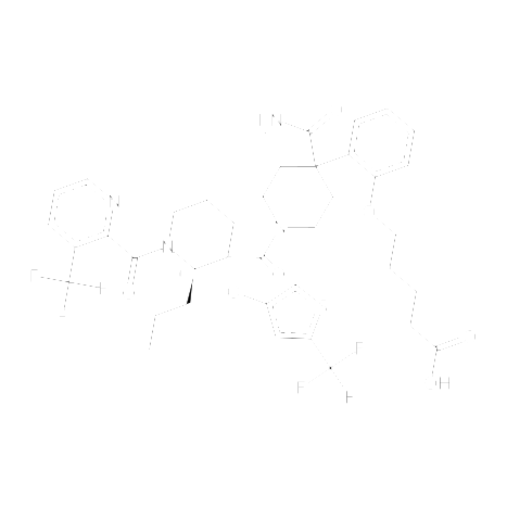 CCC[C@H]1N(C(=O)c2ncccc2C(F)(F)F)CCC[C@@]1(Oc1csc(C(F)(F)F)c1)C(=O)N1CCC(C(N)=O)(c2ccccc2OCCCCC(=O)O)CC1